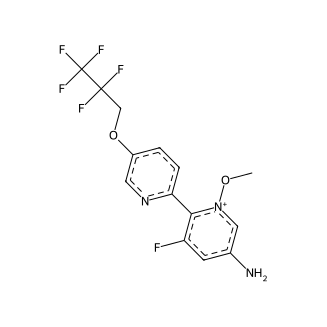 CO[n+]1cc(N)cc(F)c1-c1ccc(OCC(F)(F)C(F)(F)F)cn1